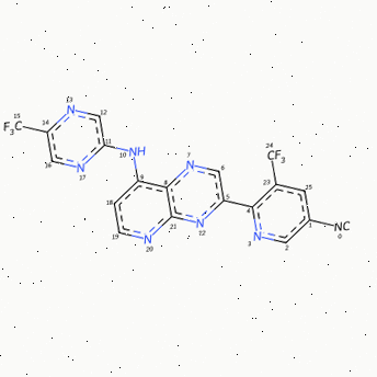 [C-]#[N+]c1cnc(-c2cnc3c(Nc4cnc(C(F)(F)F)cn4)ccnc3n2)c(C(F)(F)F)c1